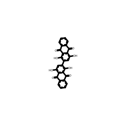 O=C1c2ccccc2C(=O)c2c(O)c(-c3cc(O)c4c(c3O)C(=O)c3ccccc3C4=O)cc(O)c21